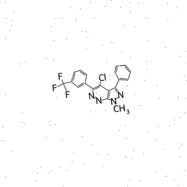 Cn1nc(-c2ccccc2)c2c(Cl)c(-c3cccc(C(F)(F)F)c3)nnc21